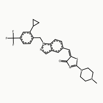 CN1CCN(C2=NC(=O)C(=Cc3ccc4c(cnn4Cc4ccc(C(F)(F)F)cc4C4CC4)c3)S2)CC1